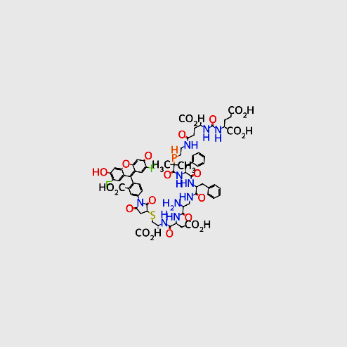 CC(C)(PCCNC(=O)CC[C@H](NC(=O)N[C@@H](CCC(=O)O)C(=O)O)C(=O)O)C(=O)N[C@@H](Cc1ccccc1)C(=O)N[C@@H](Cc1ccccc1)C(=O)NC[C@H](N)C(=O)N[C@@H](CC(=O)O)C(=O)N[C@@H](CSC1CC(=O)N(c2ccc(-c3c4cc(F)c(=O)cc-4oc4cc(O)c(F)cc34)c(C(=O)O)c2)C1=O)C(=O)O